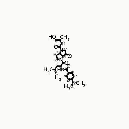 CC(C)CC(NC(=O)c1ccc(N(C)C)cc1)C(=O)N1CCC2C1C(=O)CN2C(=O)CC(C)CO